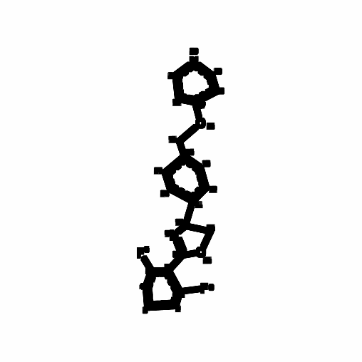 Fc1cccc(F)c1C1=NC(c2ccc(COc3ccncc3)cc2)CO1